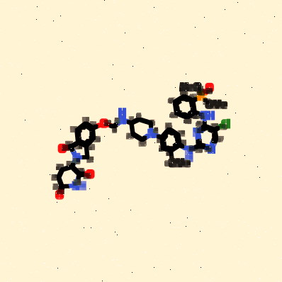 COc1cc(N2CCC(NCOc3ccc4c(c3)CN(C3CCC(=O)NC3=O)C4=O)CC2)ccc1Nc1ncc(Cl)c(Nc2ccccc2P(=O)(OC)OC)n1